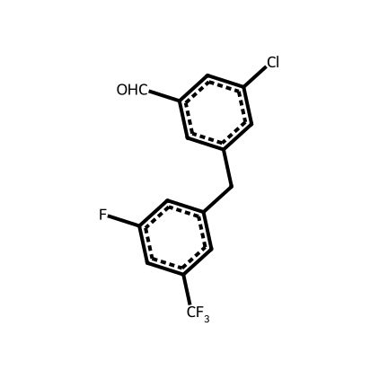 O=Cc1cc(Cl)cc(Cc2cc(F)cc(C(F)(F)F)c2)c1